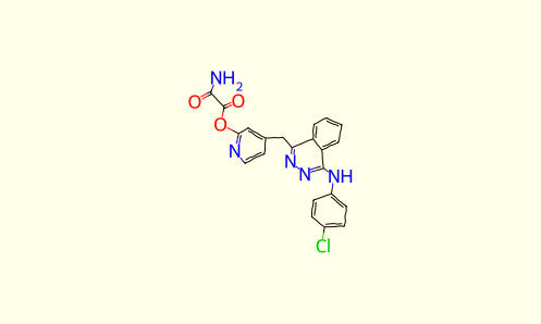 NC(=O)C(=O)Oc1cc(Cc2nnc(Nc3ccc(Cl)cc3)c3ccccc23)ccn1